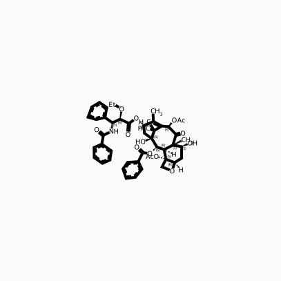 CCO[C@@H](C(=O)O[C@H]1C[C@@]2(O)[C@@H](OC(=O)c3ccccc3)[C@@H]3[C@]4(OC(C)=O)CO[C@@H]4C[C@H](O)[C@@]3(C)C(=O)[C@H](OC(C)=O)C(=C1C)C2(C)C)[C@@H](NC(=O)c1ccccc1)c1ccccc1